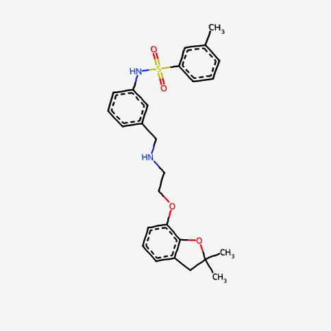 Cc1cccc(S(=O)(=O)Nc2cccc(CNCCOc3cccc4c3OC(C)(C)C4)c2)c1